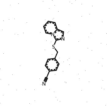 N#Cc1ccc(CSc2ncc3ccccn23)cc1